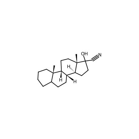 C[C@]12CCCCC1CC[C@@H]1[C@H]2CC[C@@]2(C)[C@H]1CCC2(O)C#N